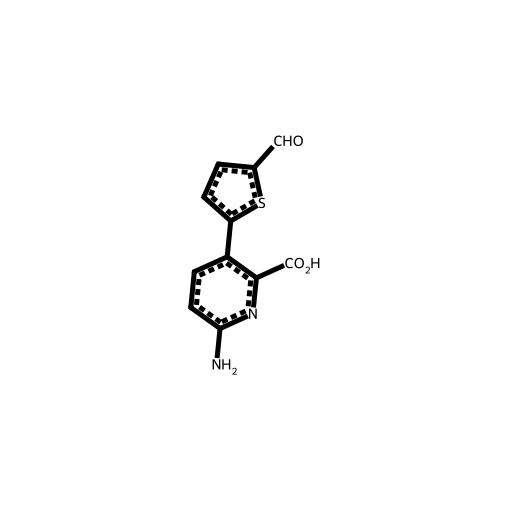 Nc1ccc(-c2ccc(C=O)s2)c(C(=O)O)n1